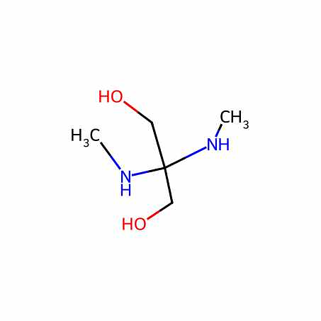 CNC(CO)(CO)NC